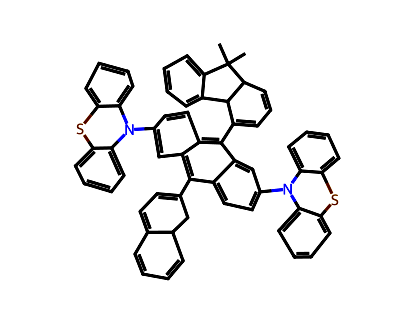 CC1(C)c2ccccc2C2C(c3c4ccc(N5c6ccccc6Sc6ccccc65)cc4c(C4=CC=C5C=CC=CC5C4)c4ccc(N5c6ccccc6Sc6ccccc65)cc34)=CC=CC21